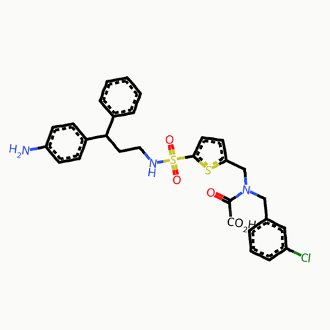 Nc1ccc(C(CCNS(=O)(=O)c2ccc(CN(Cc3cccc(Cl)c3)C(=O)C(=O)O)s2)c2ccccc2)cc1